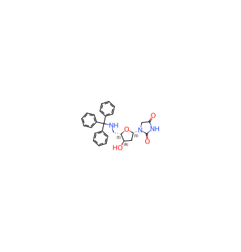 O=C1CN([C@@H]2C[C@@H](O)[C@H](CNC(c3ccccc3)(c3ccccc3)c3ccccc3)O2)C(=O)N1